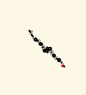 C=CC(=O)OCCCOc1ccc(C(=O)Oc2ccc(OC(=O)Oc3cccc4c3C3(CC4)CCc4cccc(OC(=O)Oc5ccc(OC(=O)c6ccc(OCOC(=O)C=C)cc6)cc5)c43)cc2)cc1